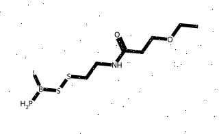 CCOCCC(=O)NCCSSB(P)I